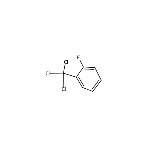 Fc1ccccc1C(Cl)(Cl)Cl